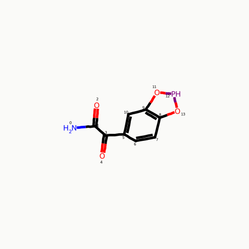 NC(=O)C(=O)c1ccc2c(c1)OPO2